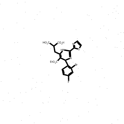 CCOC(=O)C1=C(CC(C(=O)O)C(=O)O)NC(c2nccs2)=NC1c1ccc(F)cc1Br